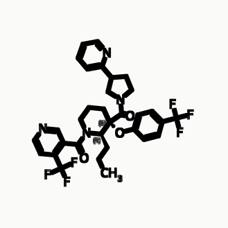 CCC[C@H]1N(C(=O)c2cnccc2C(F)(F)F)CCC[C@@]1(Oc1ccc(C(F)(F)F)cc1)C(=O)N1CCC(c2ccccn2)C1